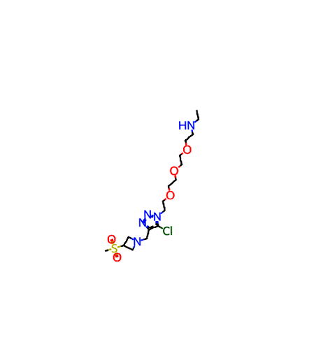 CCNCCOCCOCCOCCn1nnc(CN2CC(S(C)(=O)=O)C2)c1Cl